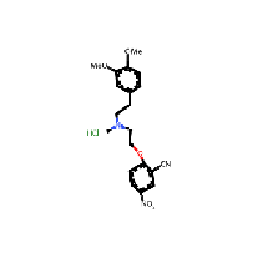 COc1ccc(CCN(C)CCOc2ccc([N+](=O)[O-])cc2C#N)cc1OC.Cl